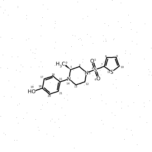 C[C@H]1CN(S(=O)(=O)c2cccs2)CCN1c1ccc(O)cc1